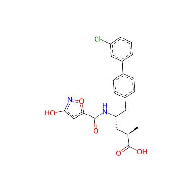 C[C@H](C[C@@H](Cc1ccc(-c2cccc(Cl)c2)cc1)NC(=O)c1cc(O)no1)C(=O)O